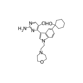 Nc1ncc(Cl)c(-c2cn(CCN3CCOCC3)c3ccc(C4(O)CCCCC4)cc23)n1